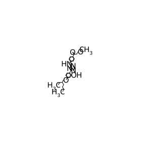 CCCCC(CC)COc1ccc(-c2ncnc(Nc3ccc(C(=O)CCOC)cc3)n2)c(O)c1